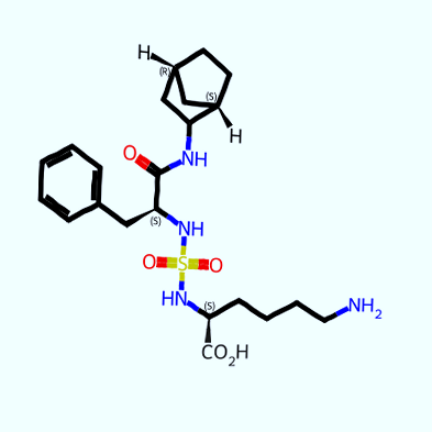 NCCCC[C@H](NS(=O)(=O)N[C@@H](Cc1ccccc1)C(=O)NC1C[C@@H]2CC[C@H]1C2)C(=O)O